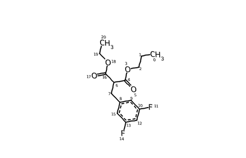 CCCOC(=O)C(Cc1cc(F)cc(F)c1)C(=O)OCC